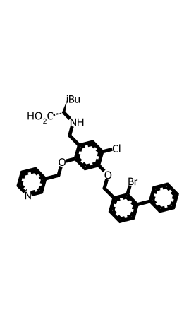 CC[C@H](C)[C@H](NCc1cc(Cl)c(OCc2cccc(-c3ccccc3)c2Br)cc1OCc1cccnc1)C(=O)O